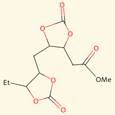 CCC1OC(=O)OC1CC1OC(=O)OC1CC(=O)OC